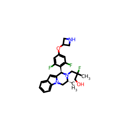 C[C@@H]1Cn2c(cc3ccccc32)[C@@H](c2c(F)cc(OC3CNC3)cc2F)N1CC(C)(F)CO